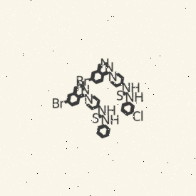 S=C(Nc1cccc(Cl)c1)NC1CCN(c2nncc3cc(Br)ccc23)CC1.S=C(Nc1ccccc1)NC1CCN(c2nncc3cc(Br)ccc23)CC1